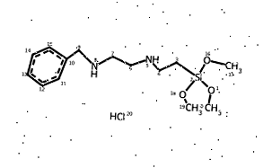 CO[Si](CCNCCNCc1ccccc1)(OC)OC.Cl